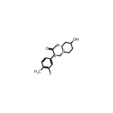 Cc1ccc([C@H](CN2CCC(O)CC2)C(=O)C(C)C)cc1F